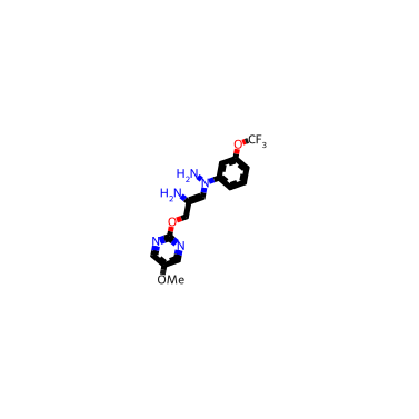 COc1cnc(OC/C(N)=C/N(N)c2cccc(OC(F)(F)F)c2)nc1